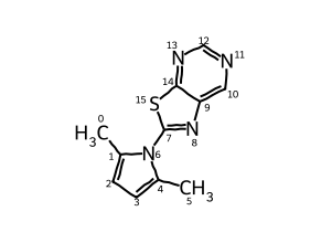 Cc1ccc(C)n1-c1nc2cncnc2s1